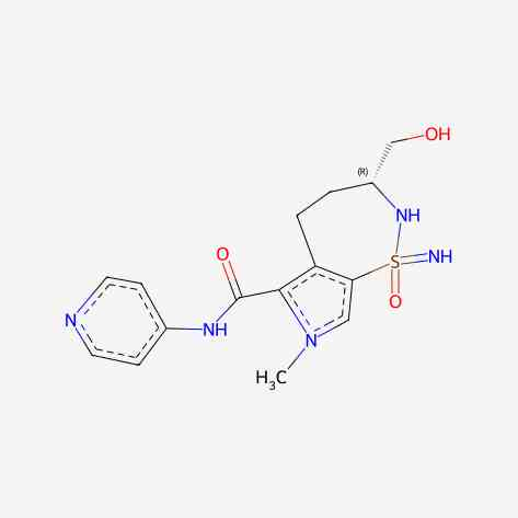 Cn1cc2c(c1C(=O)Nc1ccncc1)CC[C@H](CO)NS2(=N)=O